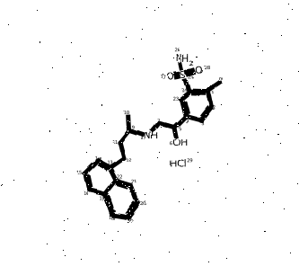 Cc1ccc(C(O)CNC(C)CCc2cccc3ccccc23)cc1S(N)(=O)=O.Cl